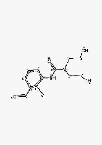 Cc1c(C=O)cccc1NC(=O)N(CCO)CCO